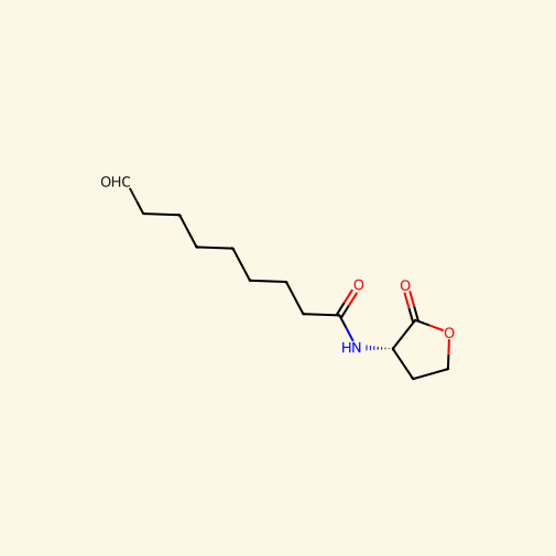 O=CCCCCCCCC(=O)N[C@H]1CCOC1=O